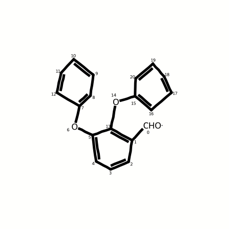 O=[C]c1cccc(Oc2ccccc2)c1Oc1ccccc1